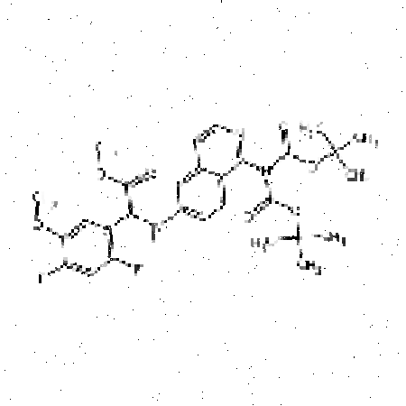 COC(=O)C(Nc1ccc2c(N(C(=O)OC(C)(C)C)C(=O)OC(C)(C)C)nccc2c1)c1cc(OC)c(F)cc1F